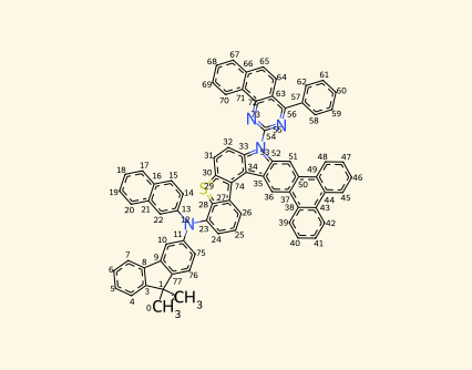 CC1(C)c2ccccc2-c2cc(N(c3ccc4ccccc4c3)c3cccc4c3sc3ccc5c(c6cc7c8ccccc8c8ccccc8c7cc6n5-c5nc(-c6ccccc6)c6ccc7ccccc7c6n5)c34)ccc21